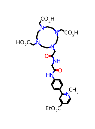 CCOC(=O)C1=CC(c2ccc(NC(=O)CNC(=O)CN3CCN(CC(=O)O)CCN(CC(=O)O)CCN(CC(=O)O)CC3)cc2)N(C)C=C1